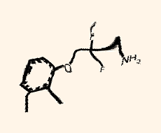 Cc1cccc(OCC(F)(F)CN)c1C